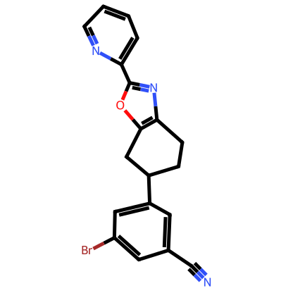 N#Cc1cc(Br)cc(C2CCc3nc(-c4ccccn4)oc3C2)c1